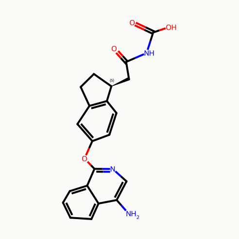 Nc1cnc(Oc2ccc3c(c2)CC[C@H]3CC(=O)NC(=O)O)c2ccccc12